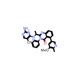 COc1cc(-c2cccc3nc(C(C)Nc4nc(N)ncc4C#N)n(-c4ccccc4)c(=O)c23)cnc1C